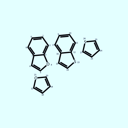 c1ccc2occc2c1.c1ccc2sccc2c1.c1ccoc1.c1ccsc1